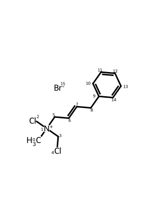 C[N+](Cl)(CCl)CC=CCc1ccccc1.[Br-]